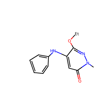 CCOc1nn(C)c(=O)cc1Nc1ccccc1